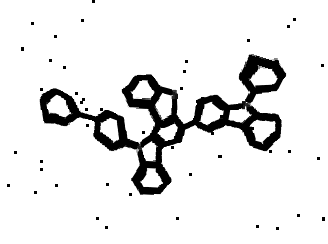 c1ccc(-c2ccc(-n3c4ccccc4c4cc(-c5ccc6c(c5)c5ccccc5n6-c5ccccc5)c5sc6ccccc6c5c43)cc2)cc1